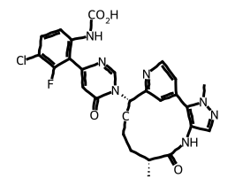 C[C@@H]1CCC[C@H](n2cnc(-c3c(NC(=O)O)ccc(Cl)c3F)cc2=O)c2cc(ccn2)-c2c(cnn2C)NC1=O